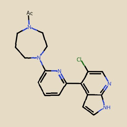 CC(=O)N1CCCN(c2cccc(-c3c(Cl)cnc4[nH]ccc34)n2)CC1